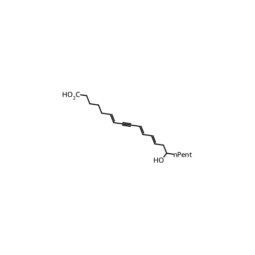 CCCCCC(O)C/C=C/C=C/C#C/C=C/CCCCC(=O)O